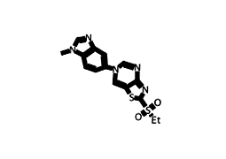 CCS(=O)(=O)C1N=C2N=CN(c3ccc4c(c3)ncn4C)C=C2S1